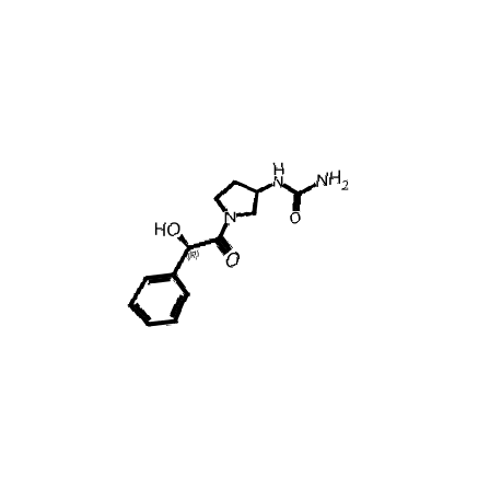 NC(=O)NC1CCN(C(=O)[C@H](O)c2ccccc2)C1